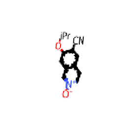 CC(C)Oc1cc2c[n+]([O-])ccc2cc1C#N